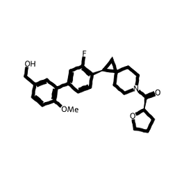 COc1ccc(CO)cc1-c1ccc([C@H]2CC23CCN(C(=O)[C@H]2CCCO2)CC3)c(F)c1